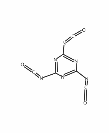 O=C=Nc1nc(N=C=O)nc(N=C=O)n1